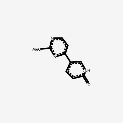 COc1nccc(-c2ccc(=O)[nH]c2)n1